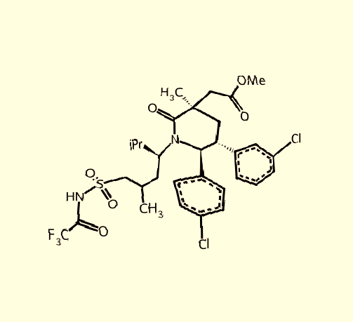 COC(=O)C[C@@]1(C)C[C@H](c2cccc(Cl)c2)[C@@H](c2ccc(Cl)cc2)N([C@@H](CC(C)CS(=O)(=O)NC(=O)C(F)(F)F)C(C)C)C1=O